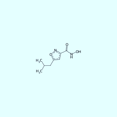 CC(C)Cc1cc(C(=O)NO)no1